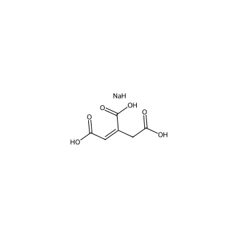 O=C(O)C=C(CC(=O)O)C(=O)O.[NaH]